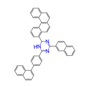 c1ccc2cc(C3=NC(c4cccc5c4ccc4ccc6ccccc6c45)NC(c4ccc(-c5cccc6ccccc56)cc4)=N3)ccc2c1